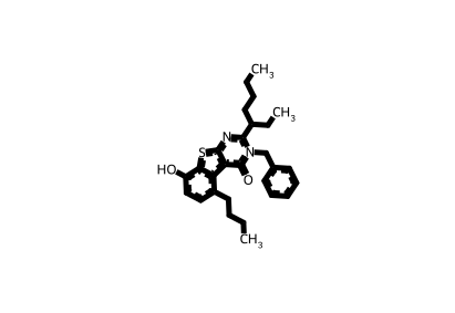 CCCCc1ccc(O)c2sc3nc(C(CC)CCCC)n(Cc4ccccc4)c(=O)c3c12